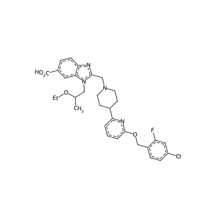 CCOC(C)Cn1c(CN2CCC(c3cccc(OCc4ccc(Cl)cc4F)n3)CC2)nc2ccc(C(=O)O)cc21